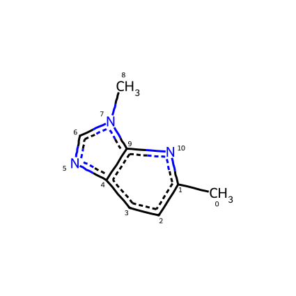 Cc1ccc2ncn(C)c2n1